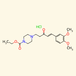 CCOC(=O)N1CCN(CCC(=O)C=Cc2ccc(OC)c(OC)c2)CC1.Cl